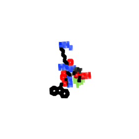 CC(C)C[C@H](NC(=O)OCC1c2ccccc2-c2ccccc21)C(=O)NNC(=O)CCCCCN.O=C(O)C(F)(F)F